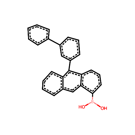 OB(O)c1cccc2c(-c3cccc(-c4ccccc4)c3)c3ccccc3cc12